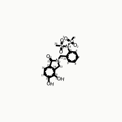 CS(=O)(=O)N(c1ccccc1CN1Cc2c(ccc(O)c2O)C1=O)S(C)(=O)=O